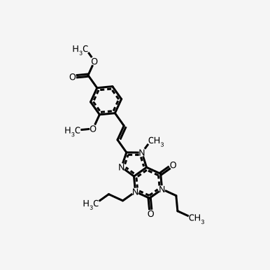 CCCn1c(=O)c2c(nc(C=Cc3ccc(C(=O)OC)cc3OC)n2C)n(CCC)c1=O